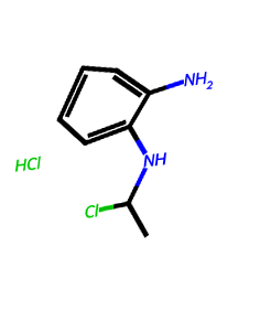 CC(Cl)Nc1ccccc1N.Cl